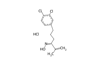 C=C(C)C(CCCc1ccc(Cl)c(Cl)c1)=NO.Cl